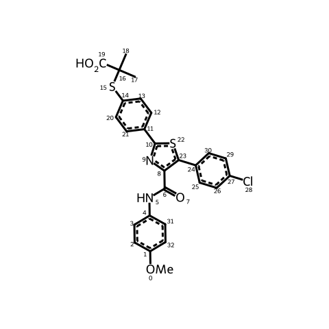 COc1ccc(NC(=O)c2nc(-c3ccc(SC(C)(C)C(=O)O)cc3)sc2-c2ccc(Cl)cc2)cc1